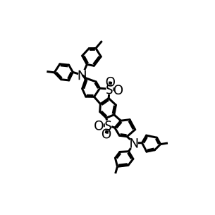 Cc1ccc(N(c2ccc(C)cc2)c2ccc3c(c2)S(=O)(=O)c2cc4c(cc2-3)S(=O)(=O)c2cc(N(c3ccc(C)cc3)c3ccc(C)cc3)ccc2-4)cc1